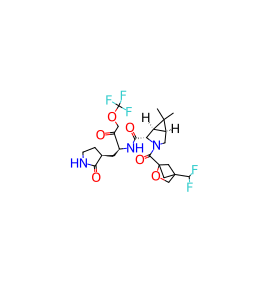 CC1(C)[C@@H]2[C@@H](C(=O)N[C@@H](C[C@@H]3CCNC3=O)C(=O)COC(F)(F)F)N(C(=O)C34CC(C(F)F)(CO3)C4)C[C@@H]21